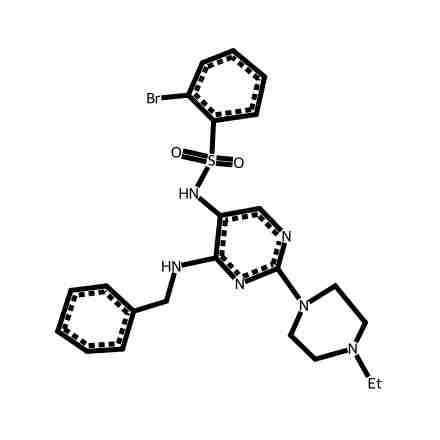 CCN1CCN(c2ncc(NS(=O)(=O)c3ccccc3Br)c(NCc3ccccc3)n2)CC1